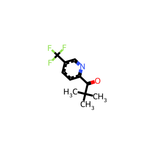 CC(C)(C)C(=O)c1ccc(C(F)(F)F)cn1